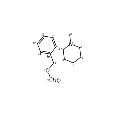 CN1CCCCC1.O=COCc1ccccc1